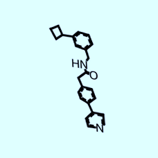 O=C(Cc1ccc(-c2ccncc2)cc1)NCc1cccc(C2CCC2)c1